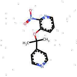 CC(C)(Oc1cccnc1[N+](=O)[O-])c1ccncc1